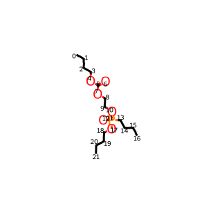 CCCCOC(=O)OCCOP(=O)(CCCC)OCCCC